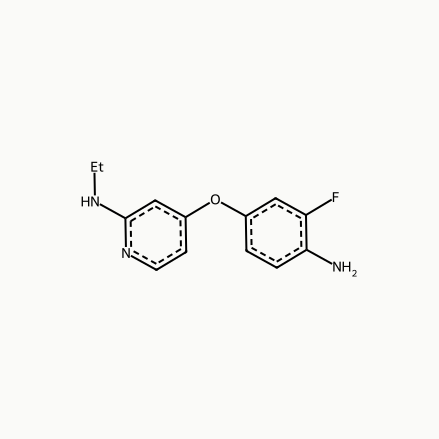 CCNc1cc(Oc2ccc(N)c(F)c2)ccn1